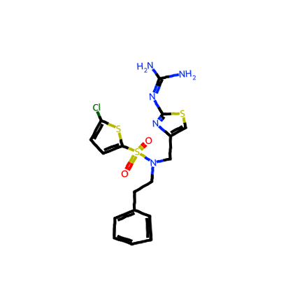 NC(N)=Nc1nc(CN(CCc2ccccc2)S(=O)(=O)c2ccc(Cl)s2)cs1